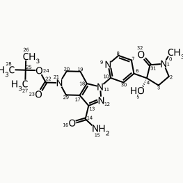 CN1CC[C@@](O)(c2ccnc(-n3nc(C(N)=O)c4c3CCN(C(=O)OC(C)(C)C)C4)c2)C1=O